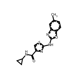 Cc1ccc2oc(Nc3nc(C(=O)NC4CC4)cs3)nc2c1